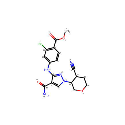 COC(=O)c1ccc(Nc2nn(C3COCCC3C#N)cc2C(N)=O)cc1Br